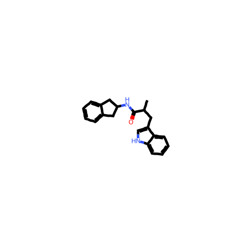 CC(Cc1c[nH]c2ccccc12)C(=O)NC1Cc2ccccc2C1